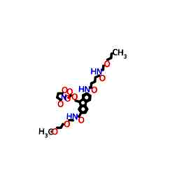 CCCCOCCNC(=O)CCCC(=O)Nc1ccc2c(c1)C(COC(=O)ON1C(=O)CCC1=O)c1cc(C(=O)NCCOCCCOC)ccc1-2